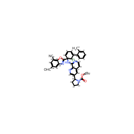 Cc1ccccc1C1=CC=CC(Nc2nccc3cc(C4CCCN4C(=O)OC(C)(C)C)cnc23)(c2nc3cc(C=O)cc(C#N)c3o2)C1Cl